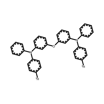 [3H]c1ccc(N(c2ccccc2)c2cccc(Oc3cccc(N(c4ccccc4)c4ccc([3H])cc4)c3)c2)cc1